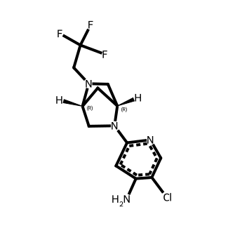 Nc1cc(N2C[C@H]3C[C@@H]2CN3CC(F)(F)F)ncc1Cl